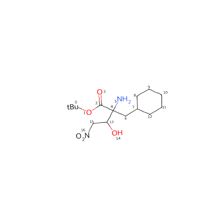 CC(C)(C)OC(=O)C(N)(CC1CCCCC1)C(O)C[N+](=O)[O-]